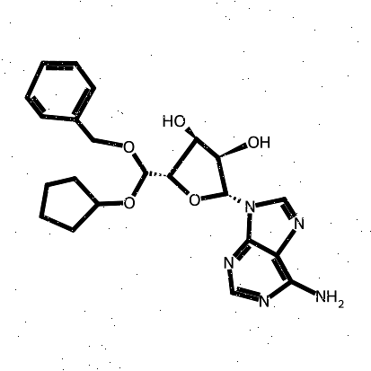 Nc1ncnc2c1ncn2[C@@H]1O[C@H](C(OCc2ccccc2)OC2CCCC2)[C@@H](O)[C@H]1O